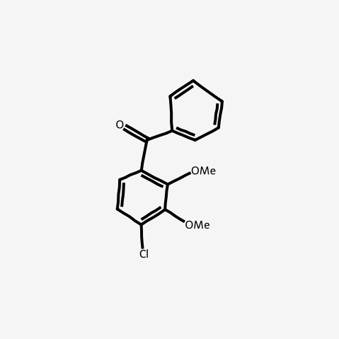 COc1c(Cl)ccc(C(=O)c2ccccc2)c1OC